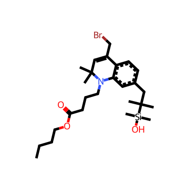 CCCCOC(=O)CCCN1c2cc(CC(C)(C)[Si](C)(C)O)ccc2C(CBr)=CC1(C)C